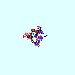 CCCCCCCCNC(=O)NC(=O)C[C@@H]1NC(=O)[C@H](NC(=O)[C@@H](CC(C)C)NC)[C@H](O)c2ccc(c(C)c2)Oc2cc3cc(c2O[C@@H]2O[C@H](CO)[C@@H](O)[C@H](O)[C@H]2O)OC2=CC[C@@H](C=C2Cl)[C@@H](O)[C@@H](C=O)NC(=O)[C@@H](c2ccc(O)c(-c4c(O)cc(O)cc4[C@H](NC)C(=O)N4CCN(C)CC4)c2)NC(=O)[C@@H]3NC1=O